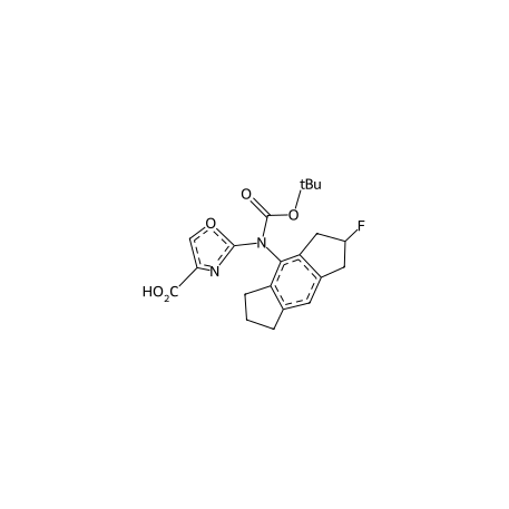 CC(C)(C)OC(=O)N(c1nc(C(=O)O)co1)c1c2c(cc3c1CC(F)C3)CCC2